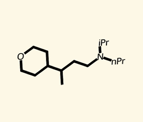 CCCN(CCC(C)C1CCOCC1)C(C)C